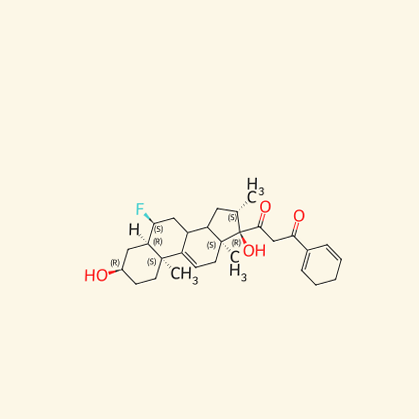 C[C@H]1CC2C3C[C@H](F)[C@@H]4C[C@H](O)CC[C@]4(C)C3=CC[C@]2(C)[C@@]1(O)C(=O)CC(=O)C1=CCCC=C1